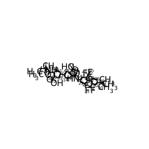 CCC(C)(CC)NC(=O)c1ccc(-c2ccc(C(=O)Nc3ccc(-c4ccc(C(C)(C)C)cc4C(F)(F)F)c(C(F)(F)F)c3)c(C(=O)O)c2)cc1C(=O)O